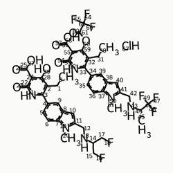 CCc1c(-c2ccc3c(c2)cc(CNC(CF)CF)n3C)[nH]c(=O)c(C(=O)O)c1O.CCc1c(-c2ccc3c(c2)cc(CN[C@@H](C)C(F)(F)F)n3C)[nH]c(=O)c(C(=O)O)c1OC(=O)C(F)(F)F.Cl